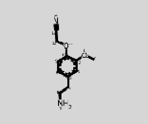 COc1cc(CCN)ccc1OCC#N